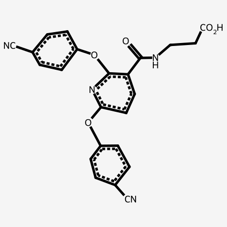 N#Cc1ccc(Oc2ccc(C(=O)NCCC(=O)O)c(Oc3ccc(C#N)cc3)n2)cc1